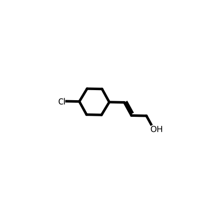 OC/C=C/C1CCC(Cl)CC1